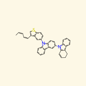 C/C=C\C=C/c1csc2ccc(-n3c4ccccc4c4cc(-n5c6c(c7ccccc75)CCC=C6)ccc43)cc12